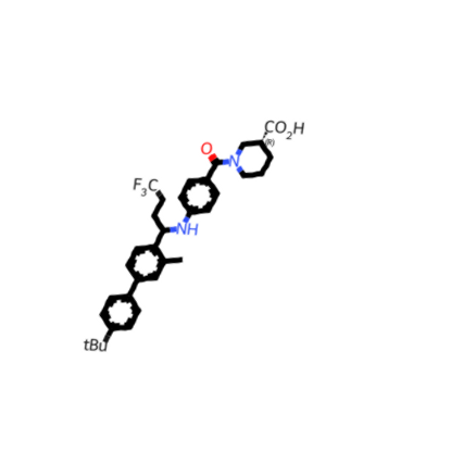 Cc1cc(-c2ccc(C(C)(C)C)cc2)ccc1C(CCC(F)(F)F)Nc1ccc(C(=O)N2CCC[C@@H](C(=O)O)C2)cc1